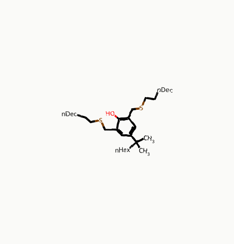 CCCCCCCCCCCCSCc1cc(C(C)(C)CCCCCC)cc(CSCCCCCCCCCCCC)c1O